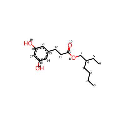 CCCCC(CC)COC(=O)CCc1cc(O)cc(O)c1